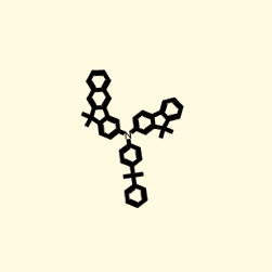 CC(C)(c1ccccc1)c1ccc(N(c2ccc3c(c2)-c2cc4ccccc4cc2C3(C)C)c2ccc3c(c2)C(C)(C)c2ccccc2-3)cc1